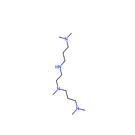 CN(C)CCCNCCN(C)CCCN(C)C